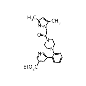 CCOC(=O)c1cncc(-c2ccccc2N2CCN(C(=O)Cn3nc(C)cc3C)CC2)c1